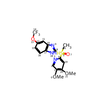 COc1cnc([SH](C)(=O)c2nc3cc(OC(F)(F)F)ccc3[nH]2)cc1OC